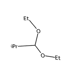 CCOC(OCC)[C](C)C